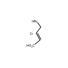 CCCCCC=CC(=O)O.[Cr]